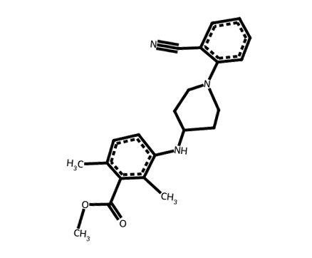 COC(=O)c1c(C)ccc(NC2CCN(c3ccccc3C#N)CC2)c1C